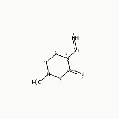 CN1CCN(C=N)C(=N)C1